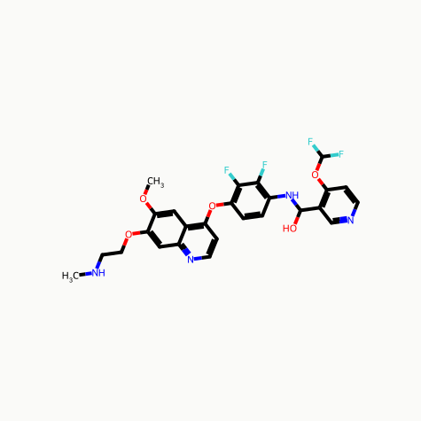 CNCCOc1cc2nccc(Oc3ccc(NC(O)c4cnccc4OC(F)F)c(F)c3F)c2cc1OC